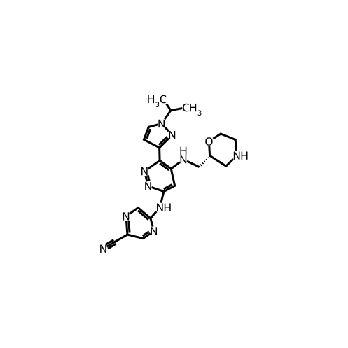 CC(C)n1ccc(-c2nnc(Nc3cnc(C#N)cn3)cc2NC[C@H]2CNCCO2)n1